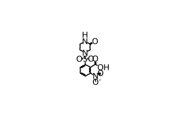 O=C1CN(S(=O)(=O)c2cccc([N+](=O)[O-])c2C(=O)O)CCN1